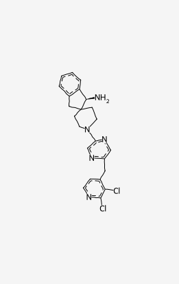 N[C@@H]1c2ccccc2CC12CCN(c1cnc(Cc3ccnc(Cl)c3Cl)cn1)CC2